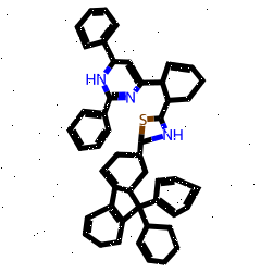 C1=CC(C2(c3ccccc3)C3=C(C=CCC3)C3=CCC(C4NC(C5CCC=CC5C5=CC(c6ccccc6)NC(c6ccccc6)=N5)S4)CC32)CCC1